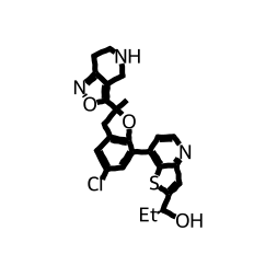 CC[C@@H](O)c1cc2nccc(-c3cc(Cl)cc4c3OC(C)(c3onc5c3CNCC5)C4)c2s1